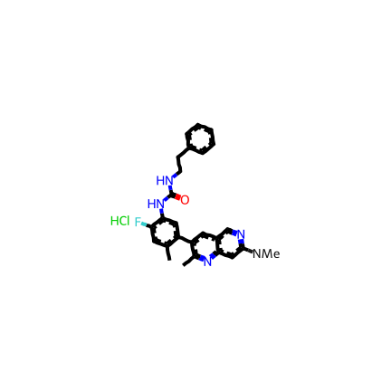 CNc1cc2nc(C)c(-c3cc(NC(=O)NCCc4ccccc4)c(F)cc3C)cc2cn1.Cl